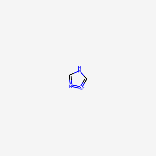 C1=[N+]=[N+]=CN1